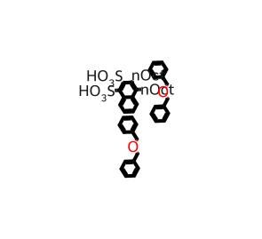 CCCCCCCCc1c(S(=O)(=O)O)c(S(=O)(=O)O)c2ccccc2c1CCCCCCCC.c1ccc(COCc2ccccc2)cc1.c1ccc(COCc2ccccc2)cc1